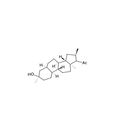 CC(=O)C1[C@H](C)C[C@H]2[C@@H]3CC[C@@H]4C[C@](C)(O)CC[C@@H]4[C@H]3CC[C@]12C